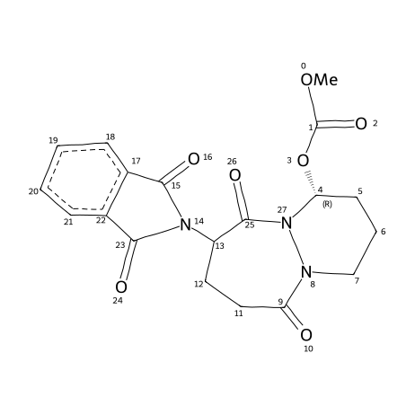 COC(=O)O[C@@H]1CCCN2C(=O)CCC(N3C(=O)c4ccccc4C3=O)C(=O)N12